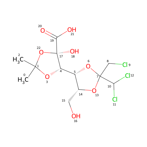 CC1(C)O[C@@H]([C@@H]2OC(CCl)(C(Cl)Cl)O[C@@H]2CO)[C@](O)(C(=O)O)O1